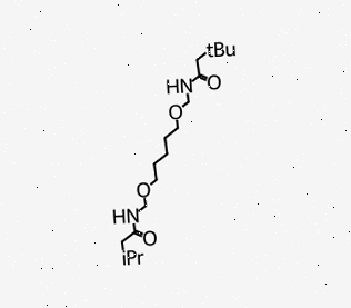 CC(C)CC(=O)NCOCCCCCOCNC(=O)CC(C)(C)C